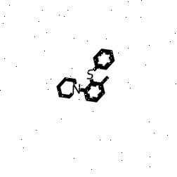 Cc1cccc(N2CCCCC2)c1Sc1ccccc1